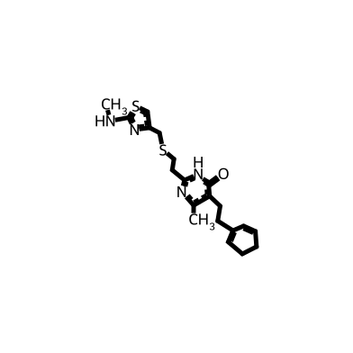 CNc1nc(CSCCc2nc(C)c(CCC3=CCCC=C3)c(=O)[nH]2)cs1